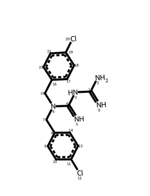 N=C(N)NC(=N)N(Cc1ccc(Cl)cc1)Cc1ccc(Cl)cc1